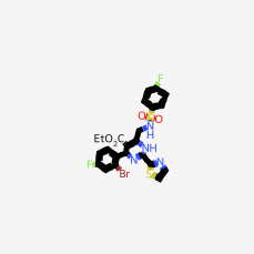 CCOC(=O)C1=C(CNS(=O)(=O)c2ccc(F)cc2)NC(c2nccs2)=NC1c1ccc(F)cc1Br